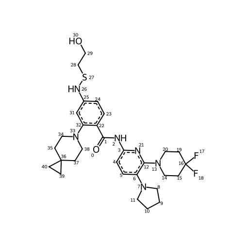 O=C(Nc1ccc(N2CCCC2)c(N2CCC(F)(F)CC2)n1)c1ccc(NSCCO)cc1N1CCC2(CC1)CC2